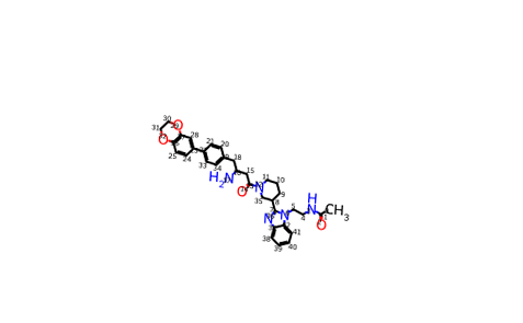 CC(=O)NCCn1c(C2CCCN(C(=O)CC(N)Cc3ccc(-c4ccc5c(c4)OCCO5)cc3)C2)nc2ccccc21